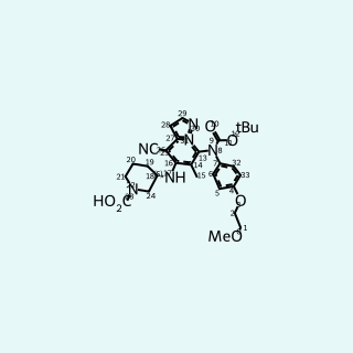 COCCOc1ccc(N(C(=O)OC(C)(C)C)c2c(C)c(N[C@H]3CCCN(C(=O)O)C3)c(C#N)c3ccnn23)cc1